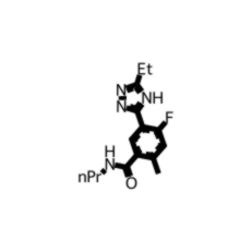 CCCNC(=O)c1cc(-c2nnc(CC)[nH]2)c(F)cc1C